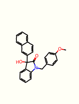 COc1ccc(CN2C(=O)C(O)(c3ccc4ccccc4c3)c3ccccc32)cc1